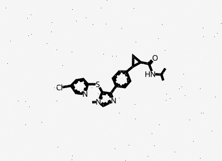 CC(C)NC(=O)C1CC1c1ccc(-c2ncn(C)c2Sc2ccc(Cl)cn2)cc1